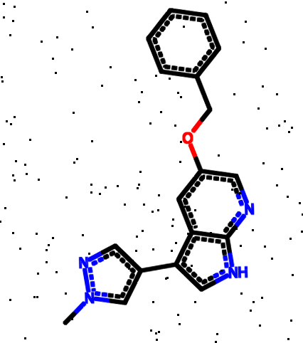 Cn1cc(-c2c[nH]c3ncc(OCc4ccccc4)cc23)cn1